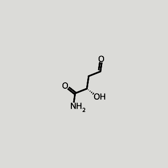 NC(=O)[C@@H](O)CC=O